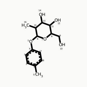 Cc1ccc(OC2OC(CO)C(O)C(O)C2C)cc1